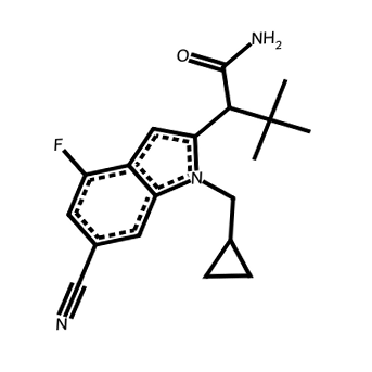 CC(C)(C)C(C(N)=O)c1cc2c(F)cc(C#N)cc2n1CC1CC1